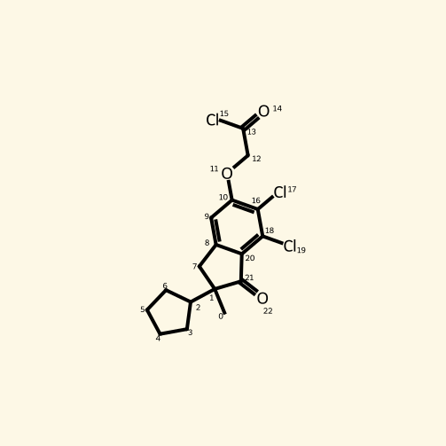 CC1(C2CCCC2)Cc2cc(OCC(=O)Cl)c(Cl)c(Cl)c2C1=O